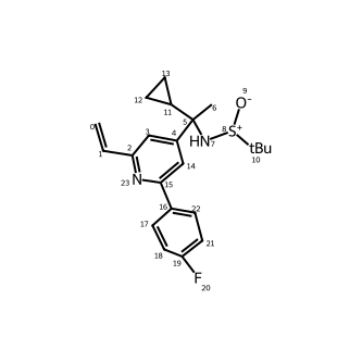 C=Cc1cc(C(C)(N[S+]([O-])C(C)(C)C)C2CC2)cc(-c2ccc(F)cc2)n1